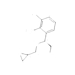 Bc1c(Cl)cccc1[C@@H](CC)OCC1CO1